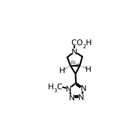 Cn1nnnc1C1[C@H]2CN(C(=O)O)C[C@@H]12